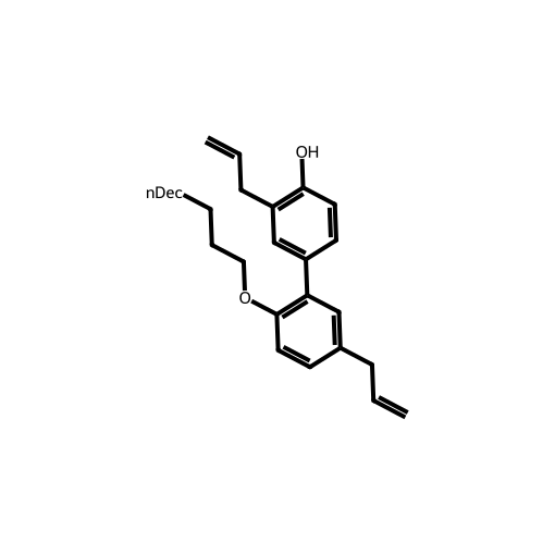 C=CCc1ccc(OCCCCCCCCCCCCC)c(-c2ccc(O)c(CC=C)c2)c1